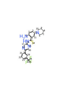 Nc1ccc(N2CCCCC2)cc1C(=S)Nc1cnc(-c2cccc(C(F)(F)F)c2)cn1